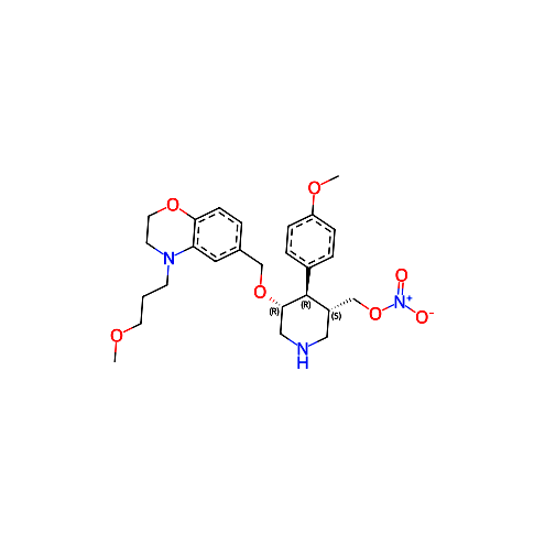 COCCCN1CCOc2ccc(CO[C@H]3CNC[C@@H](CO[N+](=O)[O-])[C@@H]3c3ccc(OC)cc3)cc21